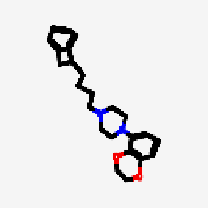 c1ccc2c(c1)CC2CCCCN1CCN(c2cccc3c2OCCO3)CC1